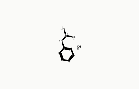 OB(O)Oc1ccccc1.[KH]